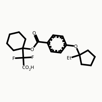 CCC1(Oc2ccc(C(=O)OC3(C(F)(F)C(=O)O)CCCCC3)cc2)CCCC1